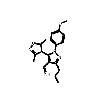 CCCc1nn(-c2ccc(OC)cc2)c(C2C(C)=NOC2C)c1C=N